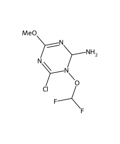 COC1=NC(N)N(OC(F)F)C(Cl)=N1